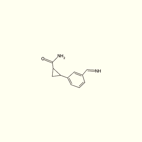 N=Cc1cccc(C2CC2C(N)=O)c1